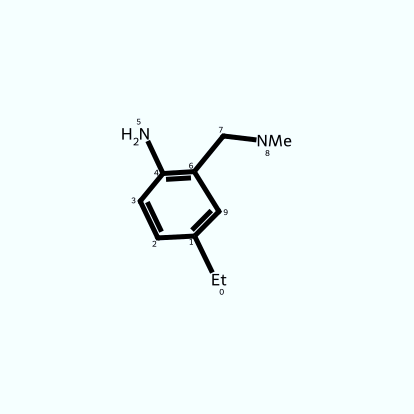 CCc1ccc(N)c(CNC)c1